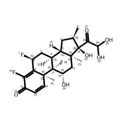 C[C@@H]1C[C@H]2[C@@H]3C[C@H](F)C4=C(F)C(=O)C=C[C@]4(C)[C@]3(F)[C@@H](O)C[C@]2(C)[C@@]1(O)C(=O)C(O)O